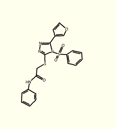 O=C(CSc1nnc(-c2ccoc2)n1S(=O)(=O)c1ccccc1)Nc1ccccc1